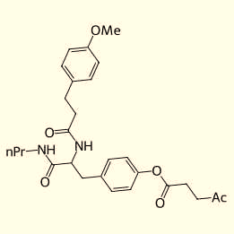 CCCNC(=O)C(Cc1ccc(OC(=O)CCC(C)=O)cc1)NC(=O)CCc1ccc(OC)cc1